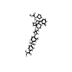 COC(=O)N[C@H]1CCC[C@@H]1C(CN1CCC1)(c1cccc(F)c1)C1CCN(CC2(F)CN(c3ccc(S(=O)(=O)c4ccc(C(=O)N(C)C)nc4)cc3F)C2)CC1